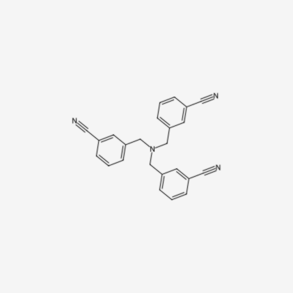 N#Cc1cccc(CN(Cc2cccc(C#N)c2)Cc2cccc(C#N)c2)c1